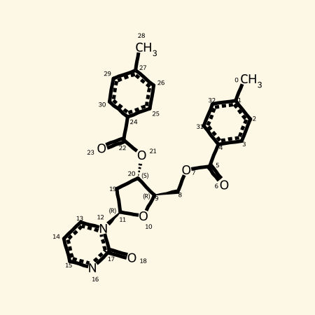 Cc1ccc(C(=O)OC[C@H]2O[C@@H](n3cccnc3=O)C[C@@H]2OC(=O)c2ccc(C)cc2)cc1